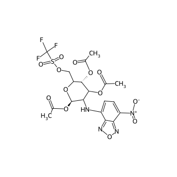 CC(=O)OC1C(Nc2ccc([N+](=O)[O-])c3nonc23)[C@@H](OC(C)=O)OC(COS(=O)(=O)C(F)(F)F)[C@@H]1OC(C)=O